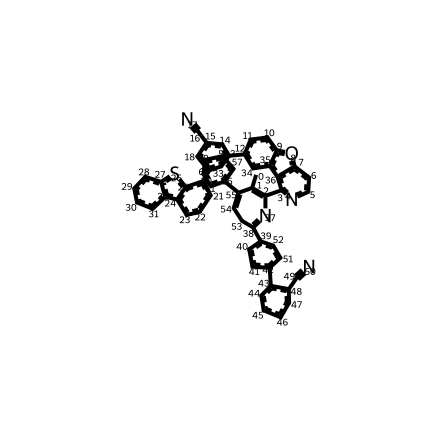 CC1=C(c2nccc3oc4ccc(-c5cc(C#N)cc(-c6cccc7c6sc6ccccc67)c5)cc4c23)N=C(c2ccc(-c3ccccc3C#N)cc2)CC=C1c1ccccc1